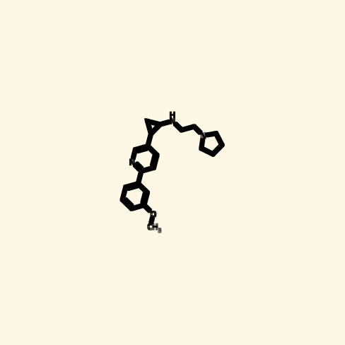 COc1cccc(-c2ccc(C3CC3NCCN3CCCC3)cn2)c1